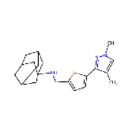 Cc1cn(C)nc1-c1ccc(CNC23CC4CC(CC(C4)C2)C3)s1